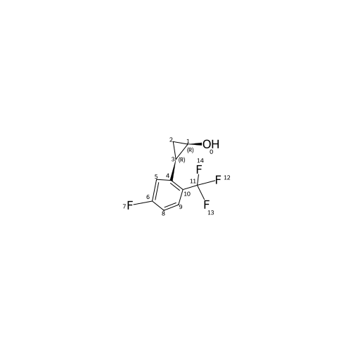 O[C@@H]1C[C@@H]1c1cc(F)ccc1C(F)(F)F